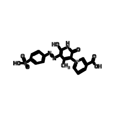 Cc1c(/N=N/c2ccc(S(=O)(=O)O)cc2)c(O)[nH]c(=O)c1-[n+]1cccc(C(=O)O)c1